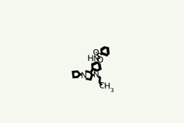 CCCN1c2ccc(NS(=O)(=O)c3ccccc3)cc2C2CN(C3CCCC3)CCC21